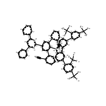 N#Cc1ccccc1-c1cc(-c2nc(-c3ccccc3)cc(-c3ccccc3)n2)cc(-c2ccccc2C#N)c1-n1c2ccc(-c3ccc(C(F)(F)F)cc3C(F)(F)F)cc2c2cc(-c3ccc(C(F)(F)F)cc3C(F)(F)F)ccc21